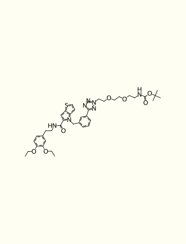 CCOc1ccc(CCNC(=O)c2cc3sccc3n2Cc2cccc(-c3nnn(CCOCCOCCNC(=O)OC(C)(C)C)n3)c2)cc1OCC